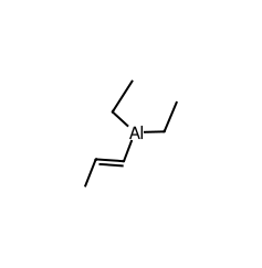 CC=[CH][Al]([CH2]C)[CH2]C